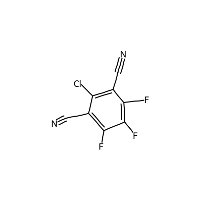 N#Cc1c(F)c(F)c(F)c(C#N)c1Cl